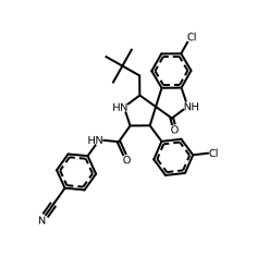 CC(C)(C)CC1NC(C(=O)Nc2ccc(C#N)cc2)C(c2cccc(Cl)c2)C12C(=O)Nc1cc(Cl)ccc12